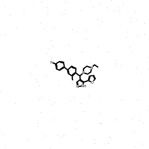 CCN1CCN(C(c2ccc(-c3ccc(F)cc3)cc2C)c2cn[nH]c2-c2ccco2)CC1